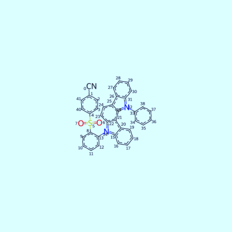 N#Cc1ccc(S(=O)(=O)c2ccccc2-n2c3ccccc3c3c2ccc2c4ccccc4n(-c4ccccc4)c23)cc1